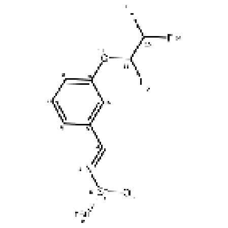 CC(C)(C)[S@@+]([O-])N=Cc1cccc(OC(F)C(F)F)c1